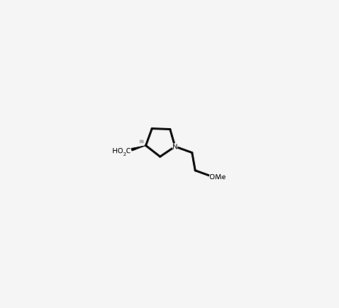 COCCN1CC[C@H](C(=O)O)C1